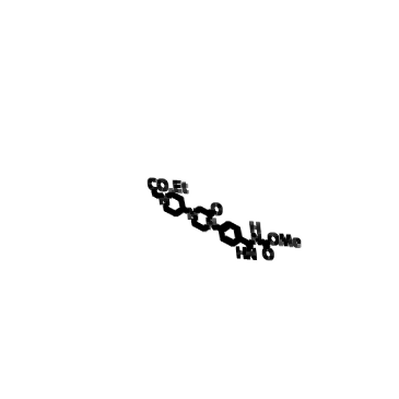 CCOC(=O)CN1CCC(N2CCN(c3ccc(C(=N)NC(=O)OC)cc3)C(=O)C2)CC1